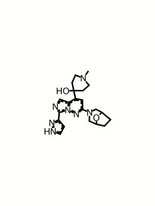 CN1CCC(O)(c2cc(N3CC4CCC(C3)O4)nn3c(-c4cc[nH]n4)ncc23)CC1